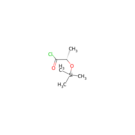 C[C@H](O[Si](C)(C)C)C(=O)Cl